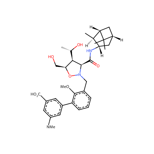 CNc1cc(C(=O)O)cc(-c2cccc(CN3O[C@@H](CO)[C@@H]([C@H](C)O)[C@H]3C(=O)N[C@H]3C[C@H]4C[C@@H]([C@@H]3C)C4(C)C)c2OC)c1